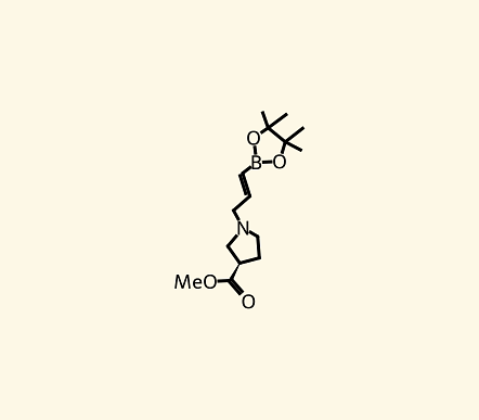 COC(=O)[C@@H]1CCN(C/C=C/B2OC(C)(C)C(C)(C)O2)C1